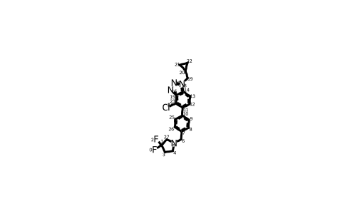 FC1(F)CCN(Cc2ccc(-c3ccc4c(nnn4CC4CC4)c3Cl)cc2)C1